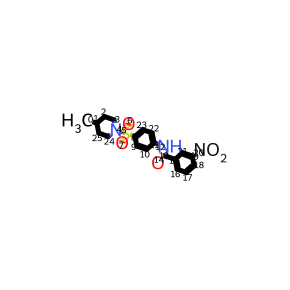 CC1CCN(S(=O)(=O)c2ccc(NC(=O)c3cccc([N+](=O)[O-])c3)cc2)CC1